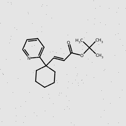 CC(C)(C)OC(=O)/C=C/C1(c2ccccn2)CCCCC1